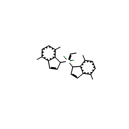 C[CH]=[Zr]([Cl])([Cl])([CH]1C=Cc2c(C)ccc(C)c21)[CH]1C=Cc2c(C)ccc(C)c21